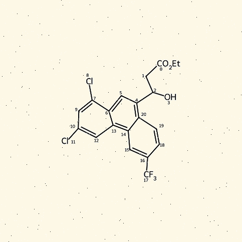 CCOC(=O)CC(O)c1cc2c(Cl)cc(Cl)cc2c2cc(C(F)(F)F)ccc12